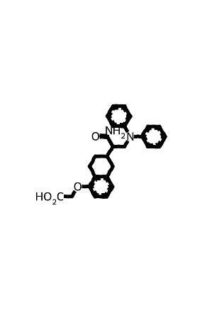 NC(=O)C(CN(c1ccccc1)c1ccccc1)C1CCc2c(cccc2OCC(=O)O)C1